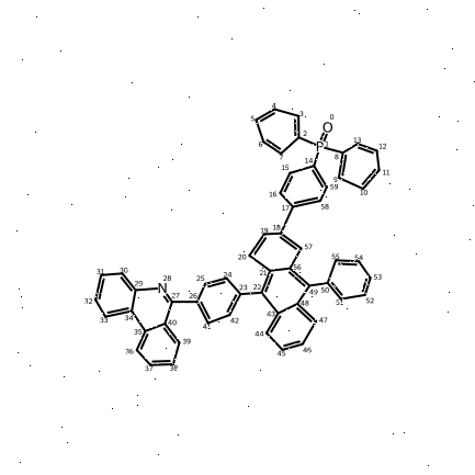 O=P(c1ccccc1)(c1ccccc1)c1ccc(-c2ccc3c(-c4ccc(-c5nc6ccccc6c6ccccc56)cc4)c4ccccc4c(-c4ccccc4)c3c2)cc1